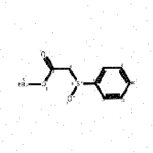 CC(C)(C)OC(=O)C[S+]([O-])c1ccccc1